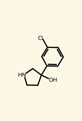 OC1(c2cccc(Cl)c2)CCNC1